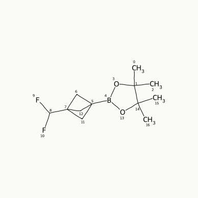 CC1(C)OB(C23CC(C(F)F)(C2)C3)OC1(C)C